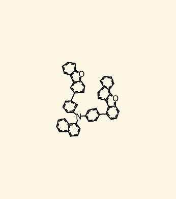 c1cc(-c2ccc3oc4ccccc4c3c2)cc(N(c2ccc(-c3cccc4oc5c6ccccc6ccc5c34)cc2)c2cccc3ccccc23)c1